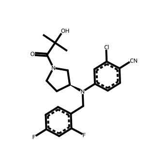 CC(C)(O)C(=O)N1CC[C@H](N(Cc2ccc(F)cc2F)c2ccc(C#N)c(Cl)c2)C1